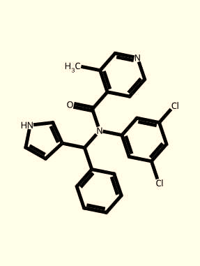 Cc1cnccc1C(=O)N(c1cc(Cl)cc(Cl)c1)C(c1ccccc1)c1cc[nH]c1